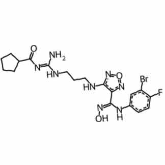 N/C(=N\C(=O)C1CCCC1)NCCCNc1nonc1/C(=N/O)Nc1ccc(F)c(Br)c1